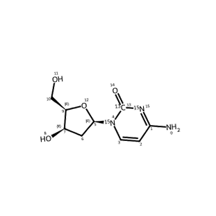 Nc1cc[15n]([C@H]2C[C@@H](O)[C@@H](CO)O2)[13c](=O)[15n]1